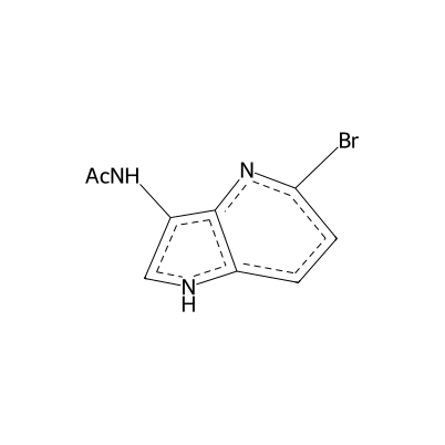 CC(=O)Nc1c[nH]c2ccc(Br)nc12